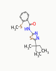 CCC(C)(CC)c1nnc(NC(=O)c2ccccc2SC)s1